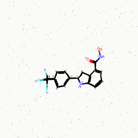 O=C(NO)c1cccc2c1CC(c1ccc(C(F)(F)F)cc1)N2